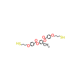 Cc1cc(OC(=O)c2ccc(OCCCCS)cc2)ccc1OC(=O)c1ccc(OCCCCS)cc1